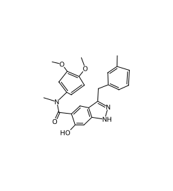 COc1ccc(N(C)C(=O)c2cc3c(Cc4cccc(C)c4)n[nH]c3cc2O)cc1OC